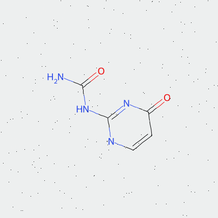 NC(=O)NC1=NC(=O)C=C[N]1